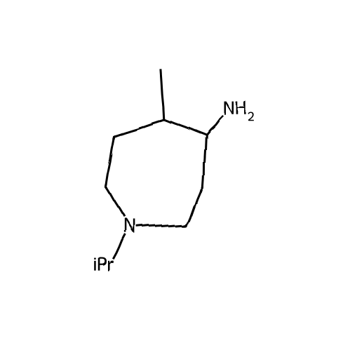 CC1CCN(C(C)C)CCC1N